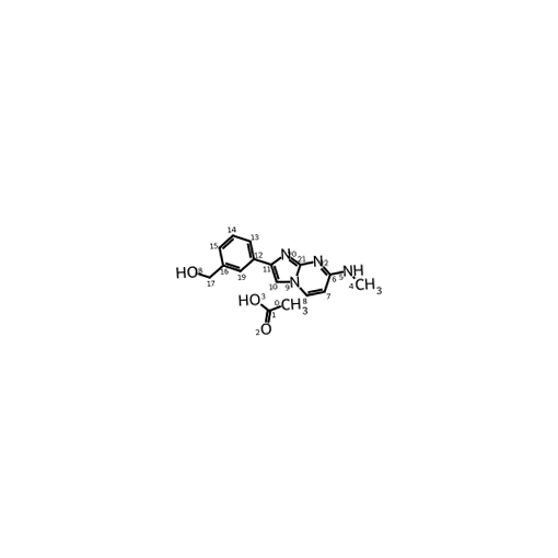 CC(=O)O.CNc1ccn2cc(-c3cccc(CO)c3)nc2n1